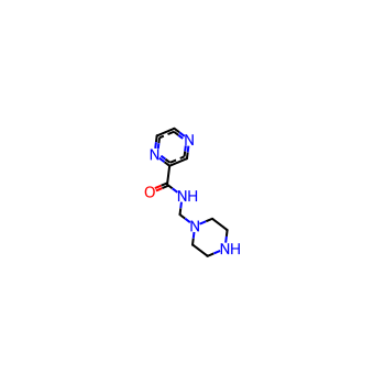 O=C(NCN1CCNCC1)c1cnccn1